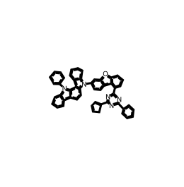 C1=CCC(c2nc(-c3ccccc3)nc(-c3cccc4oc5cc(-n6c7ccccc7c7c6ccc6c8ccccc8n(-c8ccccc8)c67)ccc5c34)n2)=C1